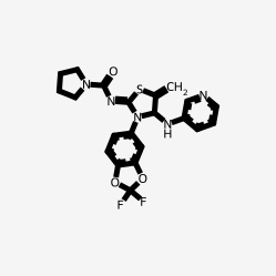 C=C1SC(=NC(=O)N2CCCC2)N(c2ccc3c(c2)OC(F)(F)O3)C1Nc1cccnc1